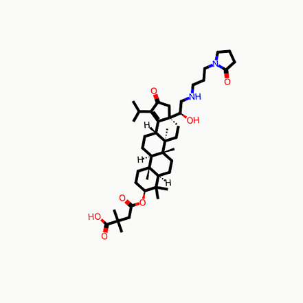 CC(C)C1=C2[C@H]3CC[C@@H]4[C@@]5(C)CC[C@H](OC(=O)CC(C)(C)C(=O)O)C(C)(C)[C@@H]5CC[C@@]4(C)[C@]3(C)CC[C@@]2([C@H](O)CNCCCN2CCCC2=O)CC1=O